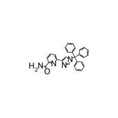 NC(=O)c1cccc(-c2cn(C(c3ccccc3)(c3ccccc3)c3ccccc3)cn2)n1